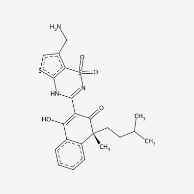 CC(C)CC[C@@]1(C)C(=O)C(C2=NS(=O)(=O)c3c(CN)csc3N2)=C(O)c2ccccc21